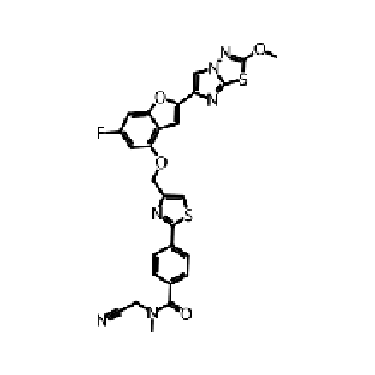 COc1nn2cc(-c3cc4c(OCc5csc(-c6ccc(C(=O)N(C)CC#N)cc6)n5)cc(F)cc4o3)nc2s1